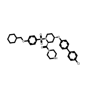 O=C([C@@H]1C[C@H](Oc2ccc(-c3ccc(Cl)cc3)cc2)CCN1S(=O)(=O)c1ccc(OCC2CCCCC2)cc1)N1CCNCC1